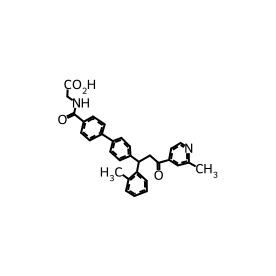 Cc1cc(C(=O)CC(c2ccc(-c3ccc(C(=O)NCC(=O)O)cc3)cc2)c2ccccc2C)ccn1